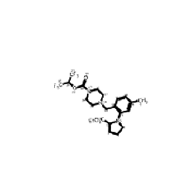 CCOC(=O)C1CCCN1c1cc(C)ccc1CN1CCN(C(=O)OC(C(F)(F)F)C(F)(F)F)CC1